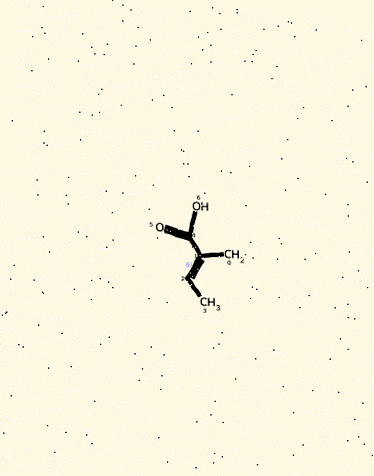 [CH2]/C(=C\C)C(=O)O